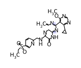 C=C/N=C(\N=C1/CN=C(NCc2ccc(S(=O)(=O)CC)cn2)C(=O)N1)c1c(OC)ncnc1C1CC1